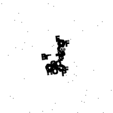 Cc1n(CCOC(=O)[C@](O)(c2ccccc2)[C@@H]2CCC(F)(F)C2)cc[n+]1Cc1cc(F)cc(F)c1.[Br-]